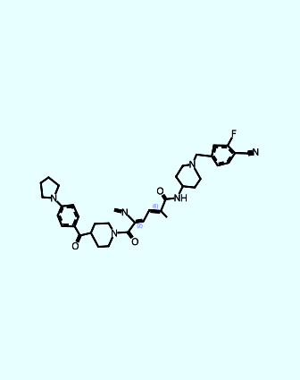 C=N/C(=C\C=C(/C)C(=O)NC1CCN(Cc2ccc(C#N)c(F)c2)CC1)C(=O)N1CCC(C(=O)c2ccc(N3CCCC3)cc2)CC1